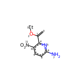 C=C(OCC)c1nc(N)ccc1[N+](=O)[O-]